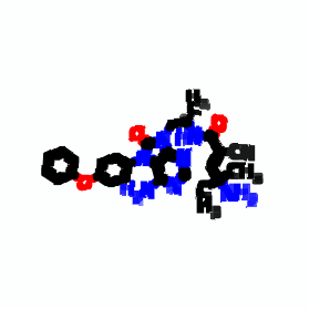 C[C@@H](Cn1c(=O)n(-c2ccc(Oc3ccccc3)cc2)c2c(N)ncnc21)NC(=O)C(C#N)=CC(C)(C)N